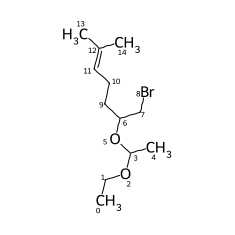 CCOC(C)OC(CBr)CCC=C(C)C